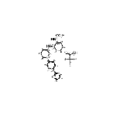 O=C(O)C(F)(F)F.O=C(O)N[C@@H]1CCCC[C@H]1N[C@H]1CCCN(c2ccc(-c3ncco3)cc2)C1